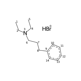 Br.CCN(CC)CCCc1ccccc1